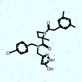 Cc1cc(C)cc(CC(=O)N2CCC2(C)C(=O)N(Cc2ccc(Cl)cc2)Cc2cc(O)[nH]n2)c1